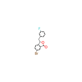 O=C1OC(Cc2cccc(F)c2)c2ccc(Br)cc21